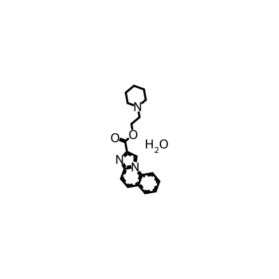 O.O=C(OCCN1CCCCC1)c1cn2c(ccc3ccccc32)n1